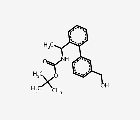 CC(NC(=O)OC(C)(C)C)c1ccccc1-c1cccc(CO)c1